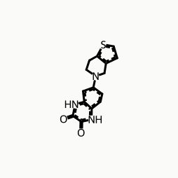 O=c1[nH]c2ccc(N3CCc4sccc4C3)cc2[nH]c1=O